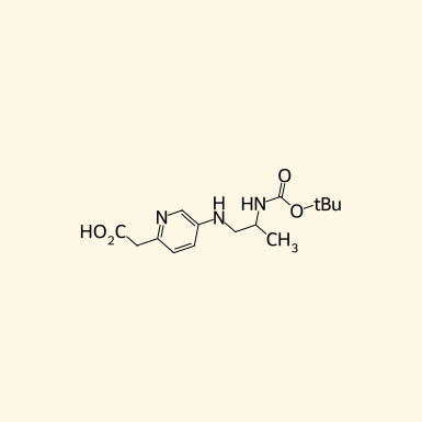 CC(CNc1ccc(CC(=O)O)nc1)NC(=O)OC(C)(C)C